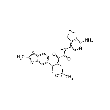 Cc1nc2cc(C3CO[C@H](C)CN3C(=O)C(=O)Nc3cnc(N)c4c3COC4)ccc2s1